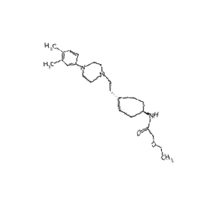 CCOCC(=O)N[C@H]1CC[C@H](CCN2CCN(c3ccc(C)c(C)c3)CC2)CC1